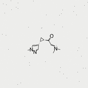 CN(C)/C=C/C(=O)[C@@H]1C[C@H]1c1cnn(C)c1